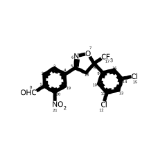 O=Cc1ccc(C2=NOC(c3cc(Cl)cc(Cl)c3)(C(F)(F)F)C2)cc1[N+](=O)[O-]